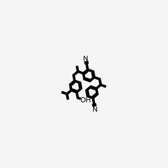 CC(C)c1cc(CC(C)c2ccc(CC(C)c3cccc(C#N)c3)cc2C#N)ccc1CO